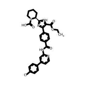 CCOC(=O)c1[nH]c([C@@H]2CCCCN2C(=O)O)nc1-c1ccc(C(=O)Nc2cc(-c3ccc(Cl)cc3)ccn2)cc1